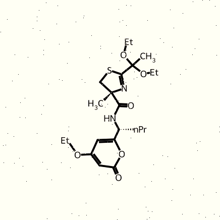 CCC[C@@H](NC(=O)[C@]1(C)CSC(C(C)(OCC)OCC)=N1)c1cc(OCC)cc(=O)o1